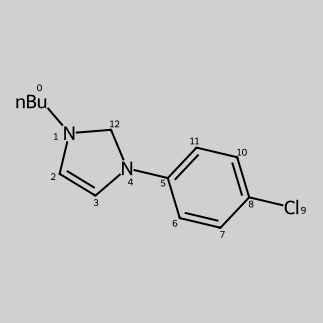 CCCCN1C=CN(c2ccc(Cl)cc2)C1